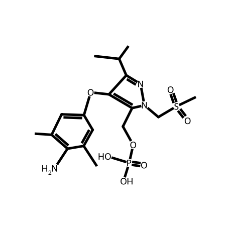 Cc1cc(Oc2c(C(C)C)nn(CS(C)(=O)=O)c2COP(=O)(O)O)cc(C)c1N